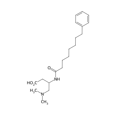 CN(C)CC(CC(=O)O)NC(=O)CCCCCCCc1ccccc1